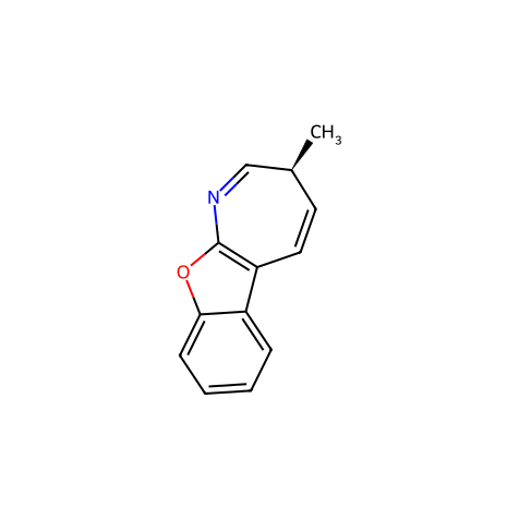 C[C@H]1C=Cc2c(oc3ccccc23)N=C1